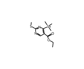 CCOC(=O)c1cnc(SC)n[c]1[Sn]([CH3])([CH3])[CH3]